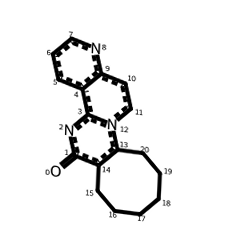 O=c1nc2c3cccnc3ccn2c2c1CCCCCC2